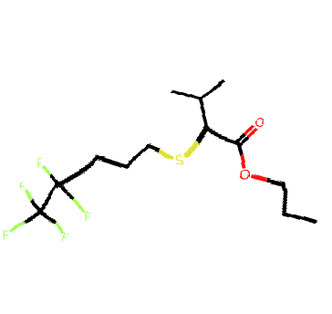 CCCOC(=O)C(SCCCC(F)(F)C(F)(F)F)C(C)C